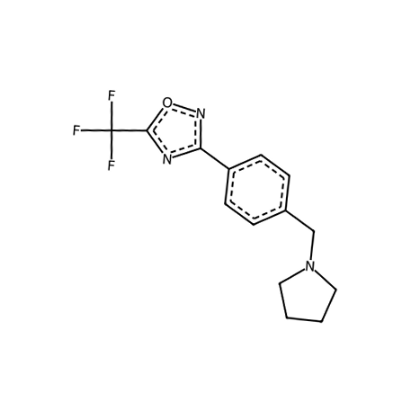 FC(F)(F)c1nc(-c2ccc(CN3CCCC3)cc2)no1